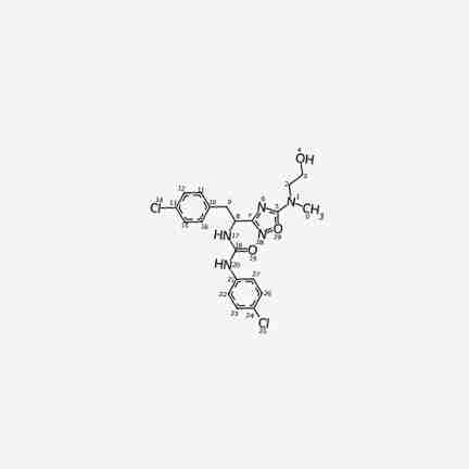 CN(CCO)c1nc(C(Cc2ccc(Cl)cc2)NC(=O)Nc2ccc(Cl)cc2)no1